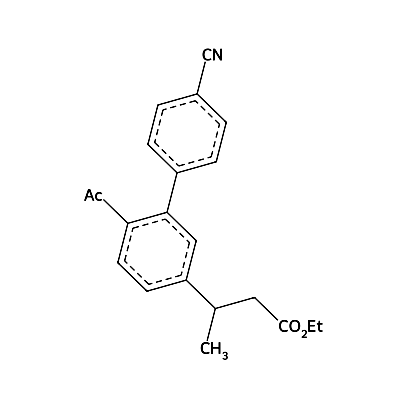 CCOC(=O)CC(C)c1ccc(C(C)=O)c(-c2ccc(C#N)cc2)c1